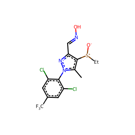 CC[S+]([O-])c1c(/C=N/O)nn(-c2c(Cl)cc(C(F)(F)F)cc2Cl)c1C